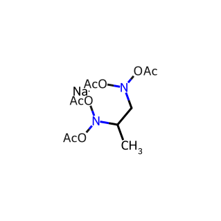 CC(=O)ON(CC(C)N(OC(C)=O)OC(C)=O)OC(C)=O.[Na]